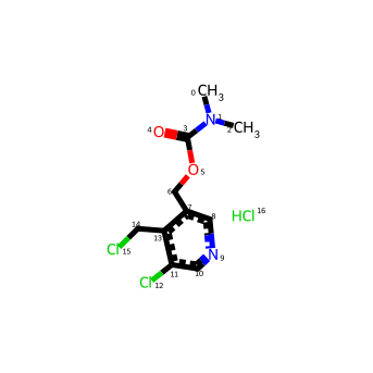 CN(C)C(=O)OCc1cncc(Cl)c1CCl.Cl